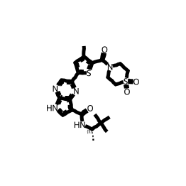 Cc1cc(-c2cnc3[nH]cc(C(=O)N[C@@H](C)C(C)(C)C)c3n2)sc1C(=O)N1CCS(=O)(=O)CC1